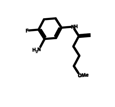 C=C(CCCOC)NC1=CC(N)=C(F)CC1